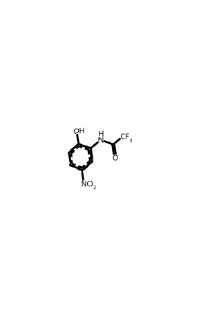 O=C(Nc1cc([N+](=O)[O-])ccc1O)C(F)(F)F